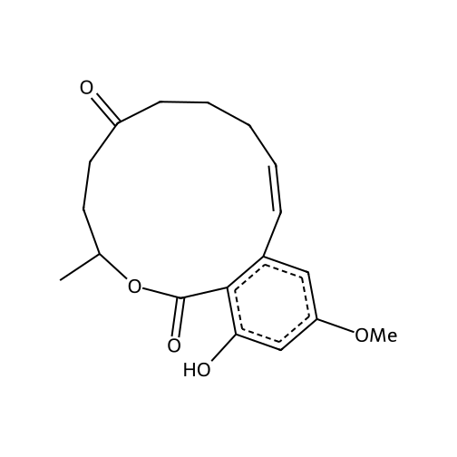 COc1cc(O)c2c(c1)C=CCCCC(=O)CCC(C)OC2=O